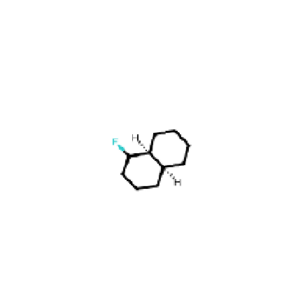 FC1CCC[C@@H]2CCCC[C@H]12